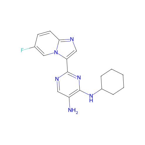 Nc1cnc(-c2cnc3ccc(F)cn23)nc1NC1CCCCC1